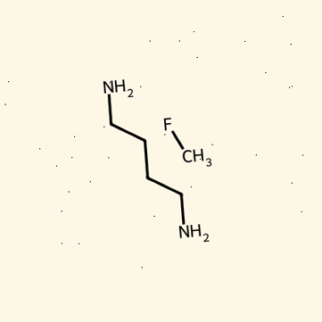 CF.NCCCCN